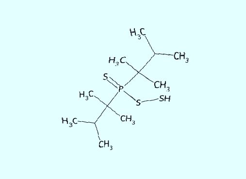 CC(C)C(C)(C)P(=S)(SS)C(C)(C)C(C)C